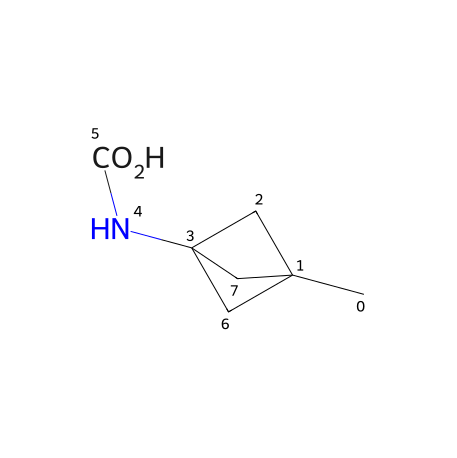 CC12CC(NC(=O)O)(C1)C2